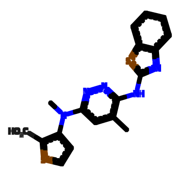 Cc1cc(N(C)c2ccsc2C(=O)O)nnc1Nc1nc2ccccc2s1